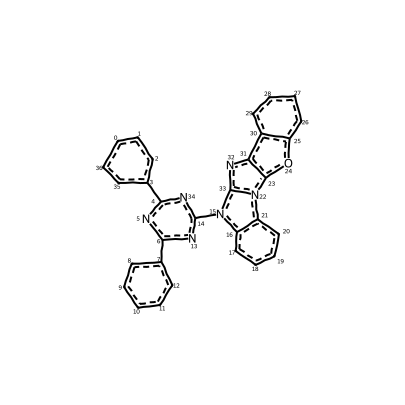 c1ccc(-c2nc(-c3ccccc3)nc(-n3c4ccccc4n4c5oc6ccccc6c5nc34)n2)cc1